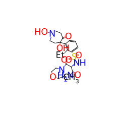 CCc1c(C2(O)CCN(O)CCC2=O)cccc1S(=O)(=O)N[C@@H](C(N)=O)C(=O)N1CCOC[C@@H]1C